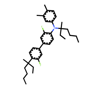 CCCCC(C)(CC)c1ccc(-c2ccc(N(c3ccc(C)c(C)c3)C(C)(CC)CCCC)c(F)c2)cc1F